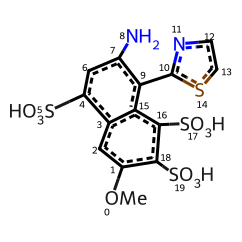 COc1cc2c(S(=O)(=O)O)cc(N)c(-c3nccs3)c2c(S(=O)(=O)O)c1S(=O)(=O)O